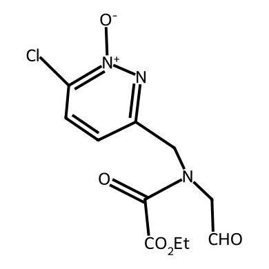 CCOC(=O)C(=O)N(CC=O)Cc1ccc(Cl)[n+]([O-])n1